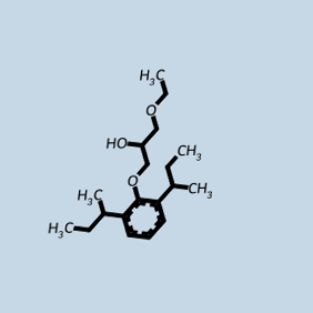 CCOCC(O)COc1c(C(C)CC)cccc1C(C)CC